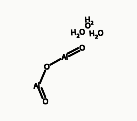 O.O.O.[O]=[Al][O][Al]=[O]